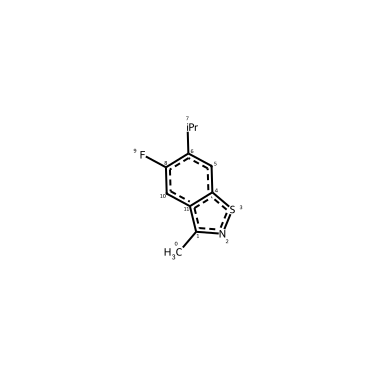 Cc1nsc2cc(C(C)C)c(F)cc12